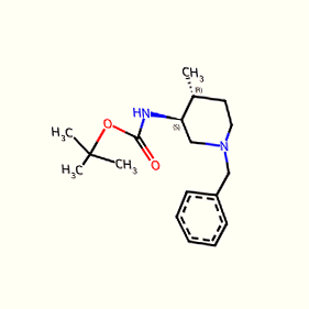 C[C@@H]1CCN(Cc2ccccc2)C[C@H]1NC(=O)OC(C)(C)C